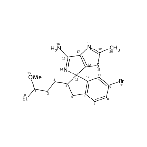 CCC(CCC1Cc2ccc(Br)cc2C12N=C(N)c1nc(C)sc12)OC